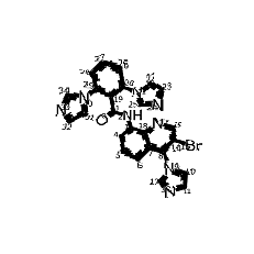 O=C(Nc1cccc2c(-n3ccnc3)c(Br)cnc12)c1c(-n2ccnc2)cccc1-n1ccnc1